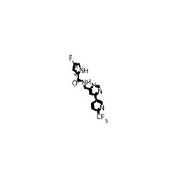 O=C(NCc1cc(-c2ccc(C(F)(F)F)nc2)ncn1)[C@H]1C[C@@H](F)CN1